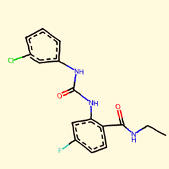 CCNC(=O)c1ccc(F)cc1NC(=O)Nc1cccc(Cl)c1